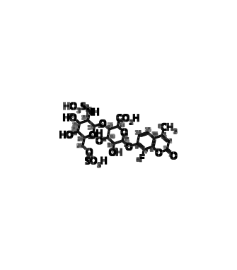 Cc1cc(=O)oc2c(F)c(OC3OC(C(=O)O)C(OC4OC(COS(=O)(=O)O)C(O)C(O)C4NS(=O)(=O)O)C(O)C3O)ccc12